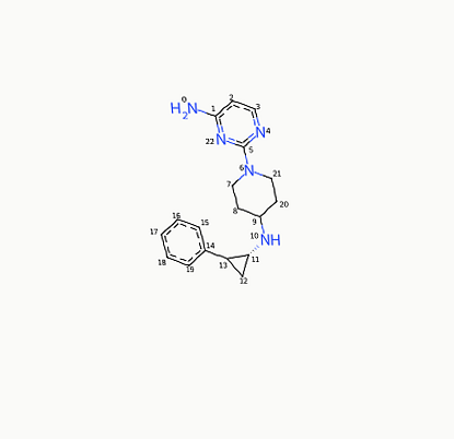 Nc1ccnc(N2CCC(N[C@@H]3CC3c3ccccc3)CC2)n1